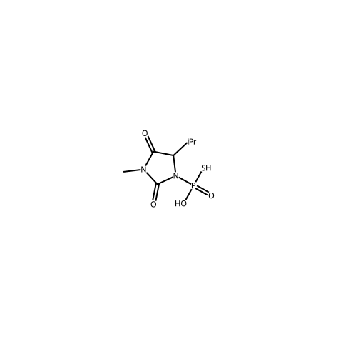 CC(C)C1C(=O)N(C)C(=O)N1P(=O)(O)S